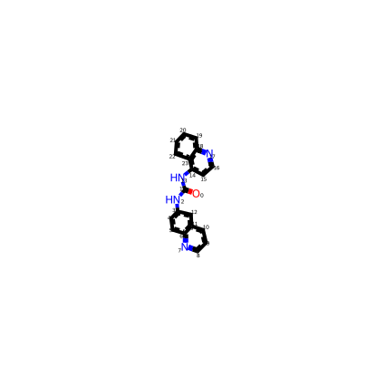 O=C(Nc1ccc2ncccc2c1)Nc1ccnc2ccccc12